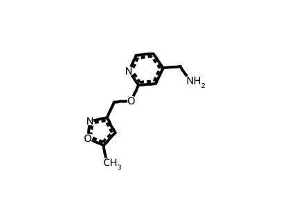 Cc1cc(COc2cc(CN)ccn2)no1